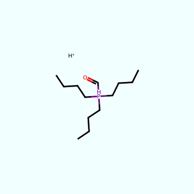 CCCC[PH](C=O)(CCCC)CCCC.[H+]